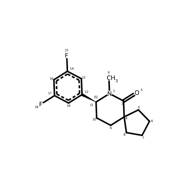 CN1C(=O)C2(CCCC2)CC[C@H]1c1cc(F)cc(F)c1